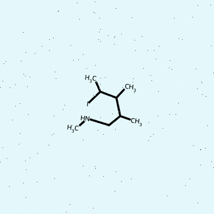 CNCC(C)C(C)C(C)I